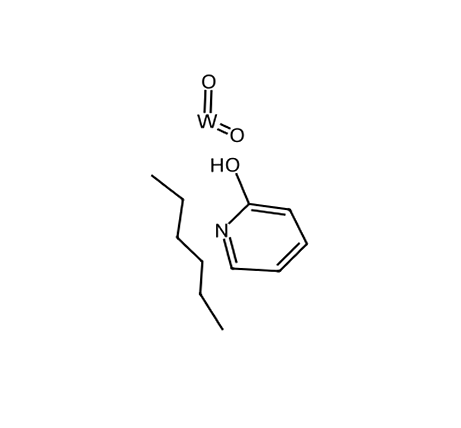 CCCCCC.Oc1ccccn1.[O]=[W]=[O]